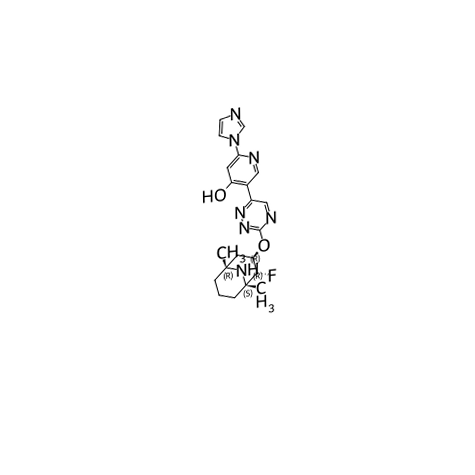 C[C@]12CCC[C@](C)(N1)[C@@H](F)[C@H](Oc1ncc(-c3cnc(-n4ccnc4)cc3O)nn1)C2